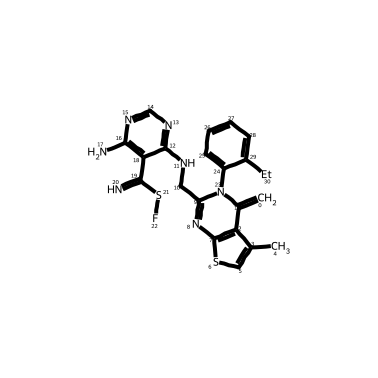 C=C1c2c(C)csc2N=C(CNc2ncnc(N)c2C(=N)SF)N1c1ccccc1CC